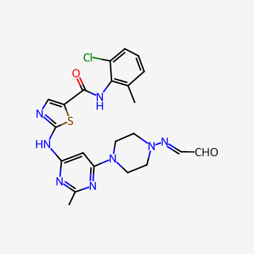 Cc1nc(Nc2ncc(C(=O)Nc3c(C)cccc3Cl)s2)cc(N2CCN(/N=C/C=O)CC2)n1